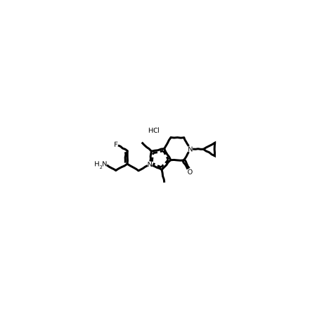 Cc1c2c(c(C)n1CC(=CF)CN)C(=O)N(C1CC1)CC2.Cl